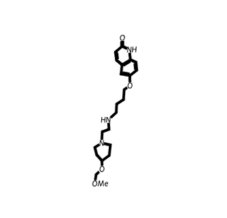 COCOC1CCN(CCNCCCCOc2ccc3[nH]c(=O)ccc3c2)CC1